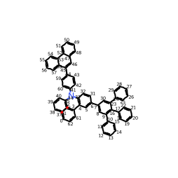 c1ccc(-c2cc(-c3cc(-c4ccccc4)c(-c4ccccc4)c(-c4ccccc4)c3)ccc2N(c2ccccc2)c2ccc(-c3cc4ccccc4c4ccccc34)cc2)cc1